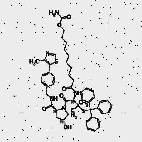 Cc1ncsc1-c1ccc(CNC(=O)[C@@H]2C[C@@H](O)CN2C(=O)[C@@H](NC(=O)CCCCCCCCCOC(N)=O)C(C)(C)SC(c2ccccc2)(c2ccccc2)c2ccccc2)cc1